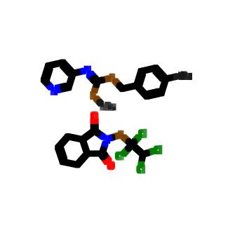 CCCCS/C(=N\c1cccnc1)SCc1ccc(C(C)(C)C)cc1.O=C1C2CC=CCC2C(=O)N1SC(Cl)(Cl)C(Cl)Cl